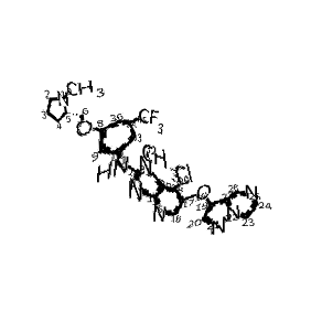 CN1CCC[C@H]1COc1cc(Nc2nc3ncc(Oc4cnn5ccncc45)c(Cl)c3n2C)cc(C(F)(F)F)c1